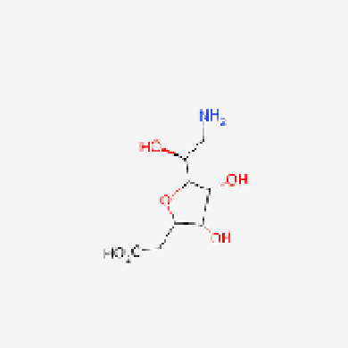 NC[C@H](O)C1OC(CC(=O)O)[C@@H](O)[C@H]1O